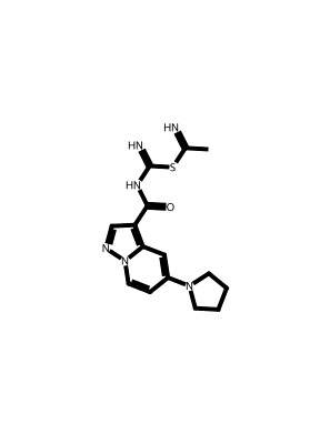 CC(=N)SC(=N)NC(=O)c1cnn2ccc(N3CCCC3)cc12